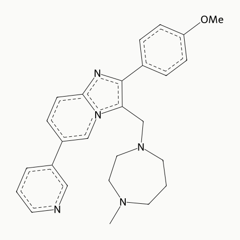 COc1ccc(-c2nc3ccc(-c4cccnc4)cn3c2CN2CCCN(C)CC2)cc1